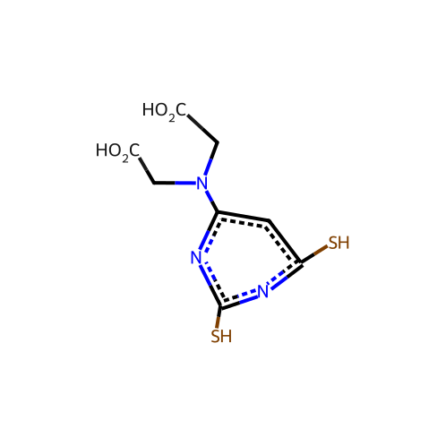 O=C(O)CN(CC(=O)O)c1cc(S)nc(S)n1